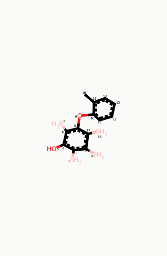 Bc1c(B)c(O)c(B)c(Oc2ccccc2C)c1B